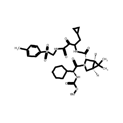 Cc1ccc(S(=O)(=O)CNC(=O)C(=O)C(CC2CC2)NC(=O)[C@@H]2[C@@H]3[C@H](CN2C(=O)[C@@H](NC(=O)OC(C)(C)C)C2CCCCC2)C3(C)C)cc1